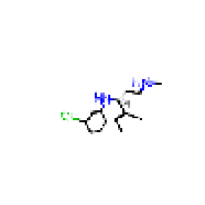 CCC(C)[C@@H](CCNC)NC1CCCC(Cl)C1